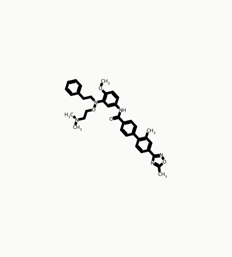 COc1ccc(NC(=O)c2ccc(-c3ccc(-c4noc(C)n4)cc3C)cc2)cc1N(CCc1ccccc1)OCCN(C)C